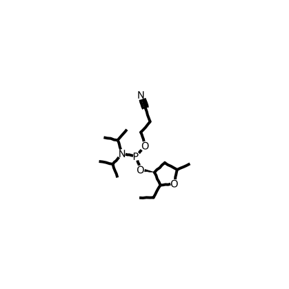 CCC1OC(C)C[C@@H]1OP(OCCC#N)N(C(C)C)C(C)C